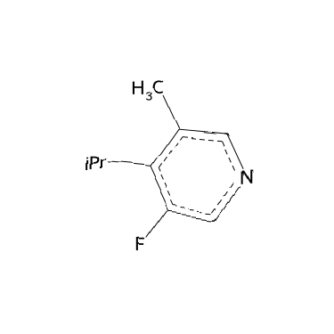 Cc1cncc(F)c1C(C)C